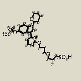 C[C@@H](COCCCOc1nccc(-c2nn(C3CCCCO3)c3ccc(O[Si](C)(C)C(C)(C)C)cc23)n1)CS(=O)(=O)O